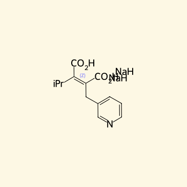 CC(C)/C(C(=O)O)=C(\Cc1cccnc1)C(=O)O.[NaH].[NaH]